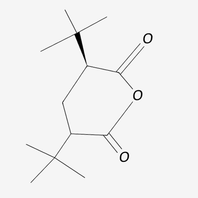 CC(C)(C)C1C[C@@H](C(C)(C)C)C(=O)OC1=O